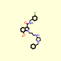 COc1cccc2c(C(=O)NCc3cccc(F)c3)cn(CCCNC3CCN(Cc4ccccc4)C3)c12